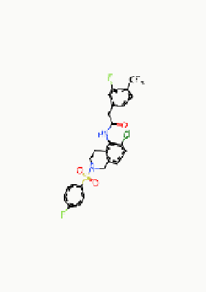 O=C(Cc1ccc(C(F)(F)F)c(F)c1)Nc1c(Cl)ccc2c1CCN(S(=O)(=O)c1ccc(F)cc1)C2